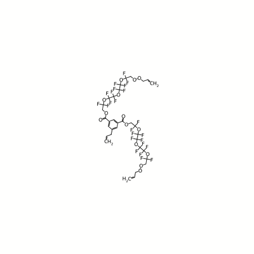 C=CCOOCC(F)(F)OC(F)(F)C(F)(F)OC(F)(F)C(F)(F)OC(F)(F)COC(=O)c1cc(CC=C)cc(C(=O)OCC(F)(F)OC(F)(F)C(F)(F)OC(F)(F)C(F)(F)OC(F)(F)COOCC=C)c1